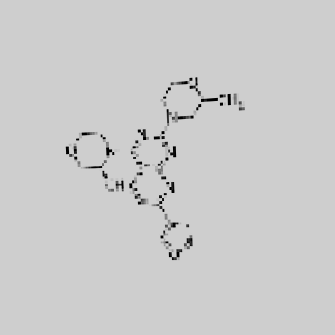 C[C@H]1CN(c2nc(N3CCOC[C@@H]3C)c3ccc(-c4ccoc4)nc3n2)CCO1